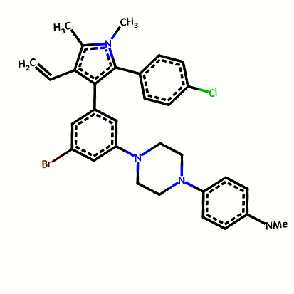 C=Cc1c(-c2cc(Br)cc(N3CCN(c4ccc(NC)cc4)CC3)c2)c(-c2ccc(Cl)cc2)n(C)c1C